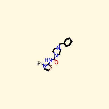 CC(C)N1C=CSC1NC(=O)N1CCN(Cc2ccccc2)CC1